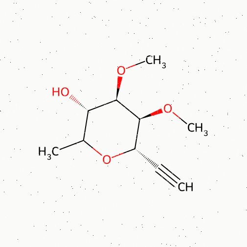 C#C[C@@H]1OC(C)[C@H](O)[C@@H](OC)[C@H]1OC